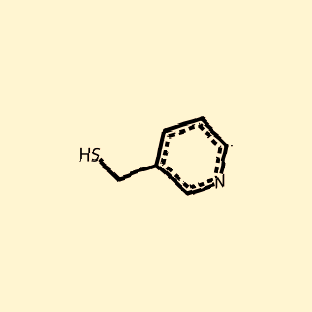 SCc1cc[c]nc1